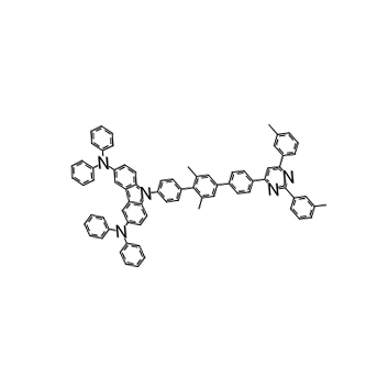 Cc1cccc(-c2cc(-c3ccc(-c4cc(C)c(-c5ccc(-n6c7ccc(N(c8ccccc8)c8ccccc8)cc7c7cc(N(c8ccccc8)c8ccccc8)ccc76)cc5)c(C)c4)cc3)nc(-c3cccc(C)c3)n2)c1